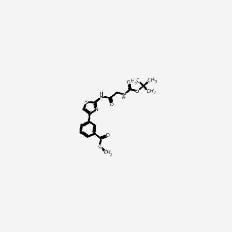 COC(=O)c1cccc(-c2csc(NC(=O)CNC(=O)OC(C)(C)C)n2)c1